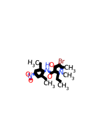 CCCc1c(C(=O)Nc2c(CC)cc([N+](=O)[O-])cc2CC)c(=O)c(Br)c(C)n1C